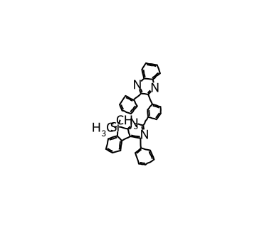 C[Si]1(C)c2ccccc2-c2c(-c3ccccc3)nc(-c3cccc(-c4nc5ccccc5nc4-c4ccccc4)c3)nc21